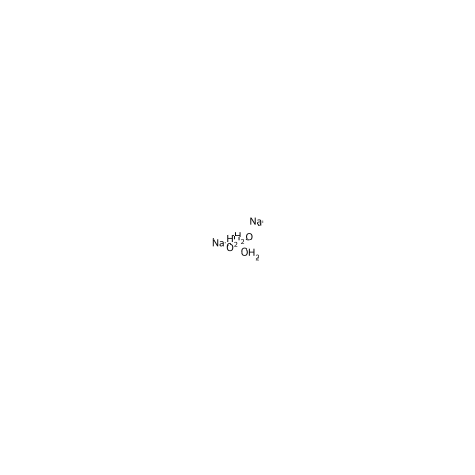 O.O.O.[Na].[Na]